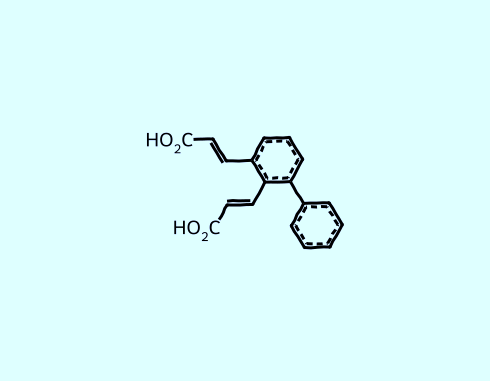 O=C(O)C=Cc1cccc(-c2ccccc2)c1C=CC(=O)O